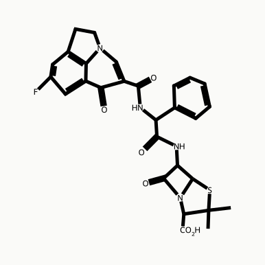 CC1(C)SC2C(NC(=O)C(NC(=O)c3cn4c5c(cc(F)cc5c3=O)CC4)c3ccccc3)C(=O)N2C1C(=O)O